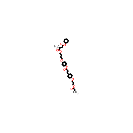 C=CC(=O)OCCCOc1ccc(/C=C/C(=O)Oc2ccc(OCCCCOC(=O)C(=C)CC(=O)OC3CCCCC3)cc2)cc1